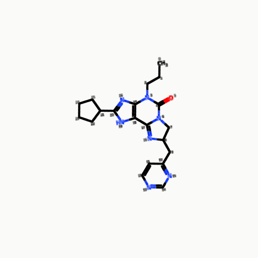 CCCN1C(=O)N2CC(Cc3ccncn3)N=C2c2[nH]c(C3CCCC3)nc21